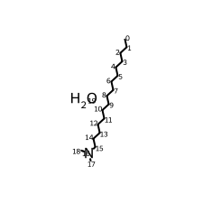 CCCCCCCCCCCCCCCCN(C)C.O